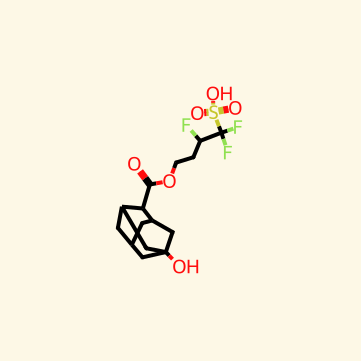 O=C(OCCC(F)C(F)(F)S(=O)(=O)O)C1C2CC3CC1CC(O)(C3)C2